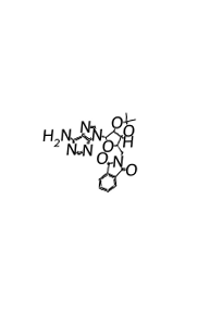 CC1(C)OC2[C@H](n3cnc4c(N)ncnc43)O[C@H](CN3C(=O)c4ccccc4C3=O)[C@H]2O1